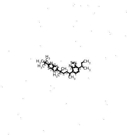 CCC(C)c1ccc(C(C)CCC(C)(C)c2nc3sc(C(C)(C)C)nc3s2)c2nsnc12